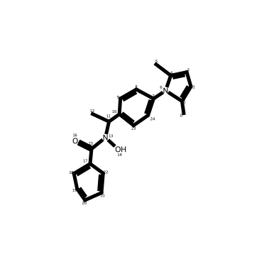 Cc1ccc(C)n1-c1ccc(C(C)N(O)C(=O)c2ccccc2)cc1